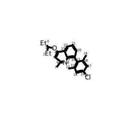 CCC(CC)Oc1cc(C)nc2c(-c3c(C)cc(Cl)cc3C)cccc12